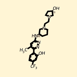 Cc1cc(N[C@@H]2CCCN(CCN3CC[C@H](O)C3)C2)nnc1-c1ccc(C(F)(F)F)cc1O